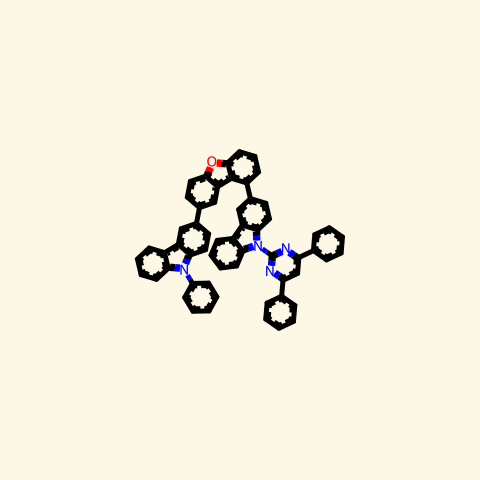 c1ccc(-c2cc(-c3ccccc3)nc(-n3c4ccccc4c4cc(-c5cccc6oc7ccc(-c8ccc9c(c8)c8ccccc8n9-c8ccccc8)cc7c56)ccc43)n2)cc1